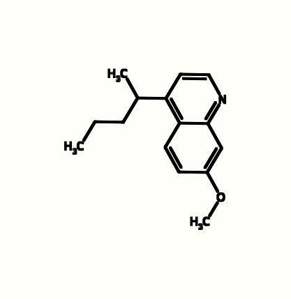 CCCC(C)c1ccnc2cc(OC)ccc12